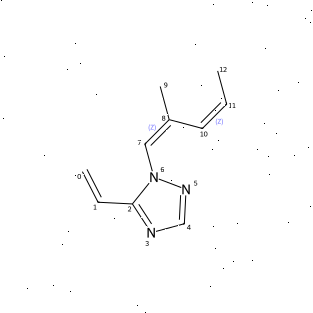 C=Cc1ncnn1/C=C(C)\C=C/C